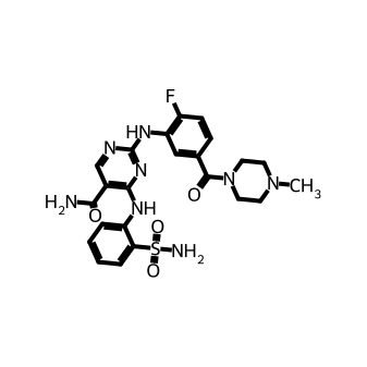 CN1CCN(C(=O)c2ccc(F)c(Nc3ncc(C(N)=O)c(Nc4ccccc4S(N)(=O)=O)n3)c2)CC1